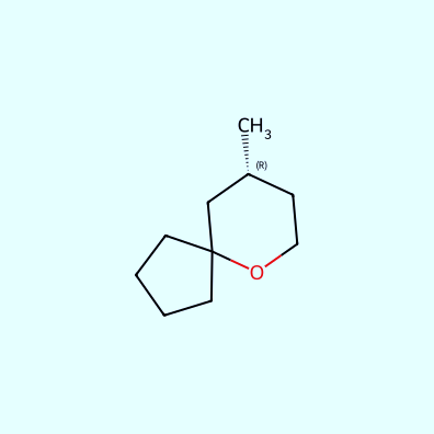 C[C@@H]1CCOC2(CCCC2)C1